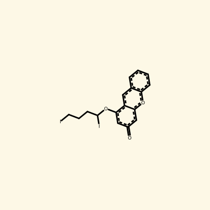 O=c1cc2oc3ccccc3cc-2c(OC(I)CCCI)c1